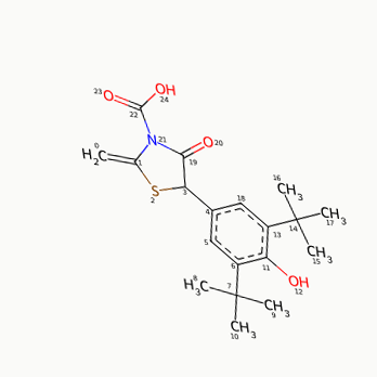 C=C1SC(c2cc(C(C)(C)C)c(O)c(C(C)(C)C)c2)C(=O)N1C(=O)O